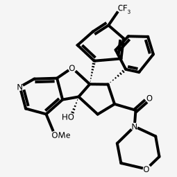 COc1cncc2c1[C@]1(O)CC(C(=O)N3CCOCC3)[C@@H](c3ccccc3)[C@]1(c1ccc(C(F)(F)F)cc1)O2